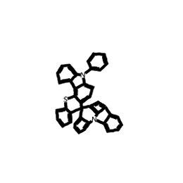 c1ccc(-n2c3ccccc3c3c4c(ccc32)C2(c3ccccc3S4)c3ccccc3-n3c4ccccc4c4cccc2c43)cc1